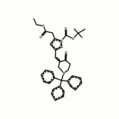 CCOC(=O)Cc1cc(C=C2CN(C(c3ccccc3)(c3ccccc3)c3ccccc3)CCC2=O)nn1C(=O)OC(C)(C)C